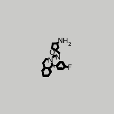 NC1CCC2(CN=C(N3CCc4ccccc4[C@@H]3c3ccc(F)cc3)O2)C1